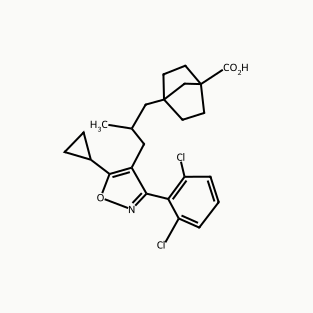 CC(Cc1c(-c2c(Cl)cccc2Cl)noc1C1CC1)CC12CCC(C(=O)O)(CC1)C2